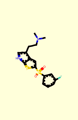 CN(C)CCc1c[nH]c2sc(S(=O)(=O)c3cccc(F)c3)cc12